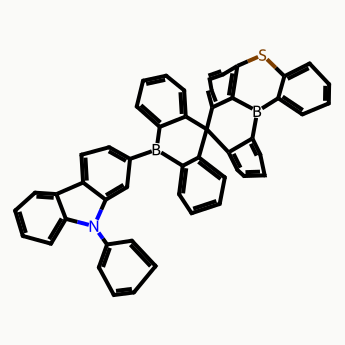 c1ccc(-n2c3ccccc3c3ccc(B4c5ccccc5C5(c6ccccc64)c4ccccc4B4c6ccccc6Sc6cccc5c64)cc32)cc1